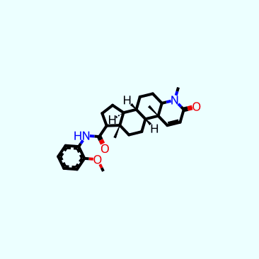 COc1ccccc1NC(=O)C1CC[C@H]2[C@@H]3CCC4N(C)C(=O)C=C[C@]4(C)[C@@H]3CC[C@]12C